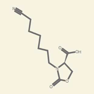 N#CCCCCCCN1C(=O)OC[C@@H]1C(=O)O